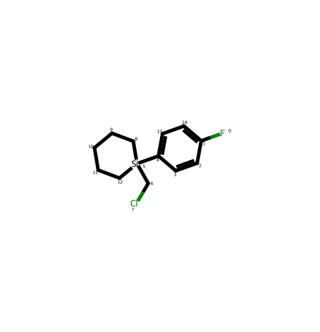 Fc1ccc([Si]2(CCl)CCCCC2)cc1